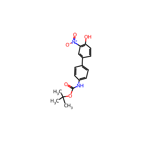 CC(C)(C)OC(=O)Nc1ccc(-c2ccc(O)c([N+](=O)[O-])c2)cc1